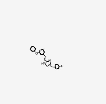 Fc1ccc(CN2CN=C(SCc3cccc(Oc4ccccc4)c3)NC2)cc1